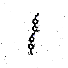 C/C=C/c1ccc(-c2ccc(/C=C/c3ccc(-c4ccc(C5CO5)cc4F)cc3)c(F)c2F)cc1